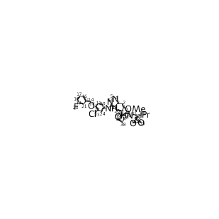 COc1cc2ncnc(Nc3ccc(OCc4cccc(F)c4)c(Cl)c3)c2cc1C1(CNCC(C(C)C)=S(=O)=O)CC=CO1